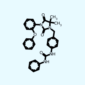 CC1(C)C(=O)N(c2ccccc2Oc2ccccc2)C(=O)N1Cc1ccc(NC(=O)Nc2ccccc2)cc1